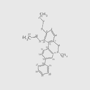 CCCCc1ccc(CCC)c(-c2ccc(-c3ccccc3)cc2)c1CCC